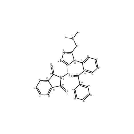 CN(C)Cc1nnc(CN2C(=O)c3ccccc3C2=O)n1-c1ccccc1C(=O)c1ccccc1